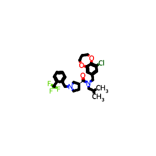 CC(C)CN(Cc1cc(Cl)c2c(c1)OCCCO2)C(=O)[C@@H]1CCN(Cc2ccccc2C(F)(F)F)C1